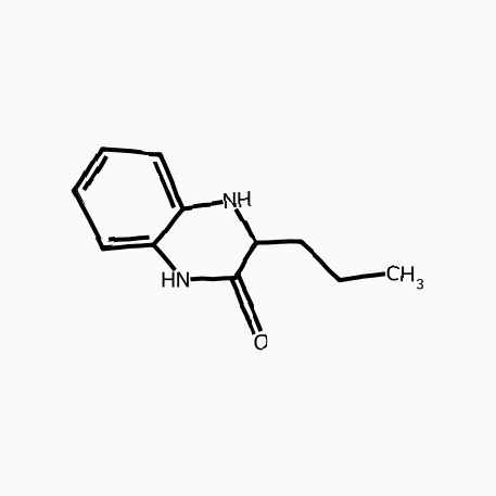 CCCC1Nc2ccccc2NC1=O